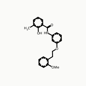 COc1ccccc1CCOc1cccc(NC(=O)c2cccc(C)c2O)c1